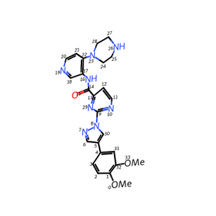 COc1ccc(-c2cnn(-c3nccc(C(=O)Nc4cnccc4N4CCNCC4)n3)c2)cc1OC